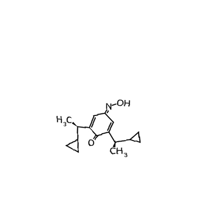 C[C@@H](C1=CC(=NO)C=C([C@H](C)C2CC2)C1=O)C1CC1